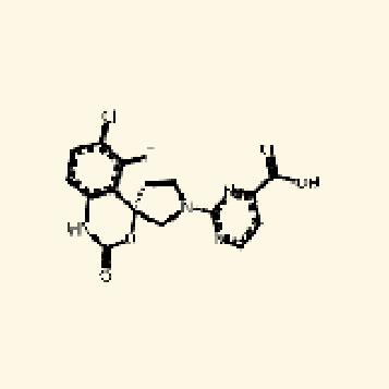 O=C1Nc2ccc(Cl)c(F)c2[C@]2(CCN(c3nccc(C(=O)O)n3)C2)O1